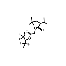 CC(C)C(CC(C)(C)C)C(=O)OCC(=O)OC(C(F)(F)F)C(F)(F)F